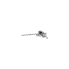 CCCCCCCCC=CCCCCCCCC(=O)C(O)(C(O)CN)P(=O)=O